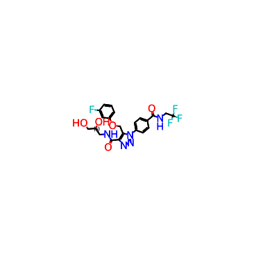 O=C(NCC(F)(F)F)c1ccc(-n2nnc(C(=O)NC[C@H](O)CO)c2COc2cccc(F)c2)cc1